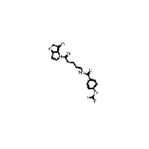 O=C(NCCCCC(=O)N1CCC2OCC(=O)C21)c1ccc(OC(F)F)cc1